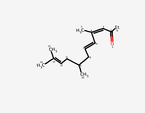 CCC(=O)C=C(C)C=CCC(C)CC=C(C)C